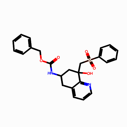 O=C(NC1Cc2cccnc2C(O)(CS(=O)(=O)c2ccccc2)C1)OCc1ccccc1